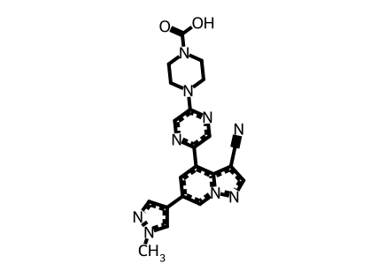 Cn1cc(-c2cc(-c3cnc(N4CCN(C(=O)O)CC4)cn3)c3c(C#N)cnn3c2)cn1